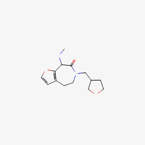 CNC1C(=O)N(CC2CCOC2)CCc2ccoc21